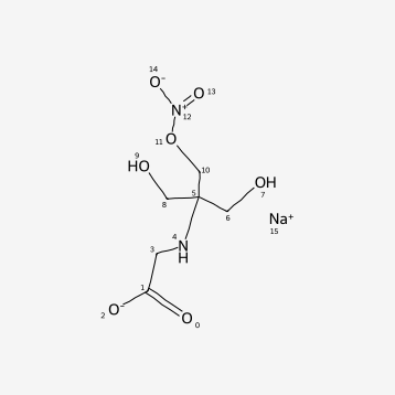 O=C([O-])CNC(CO)(CO)CO[N+](=O)[O-].[Na+]